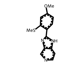 COc1ccc(-c2nc3cnccc3[nH]2)c(SC)c1